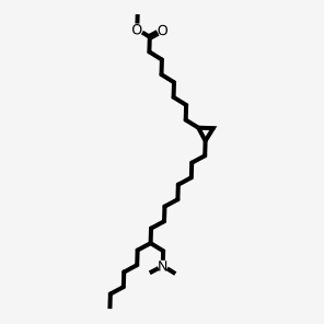 CCCCCCC(CCCCCCCCC1CC1CCCCCCCC(=O)OC)CN(C)C